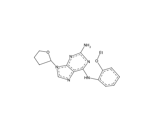 CCOc1ccccc1Nc1nc(N)nc2c1ncn2C1CCCO1